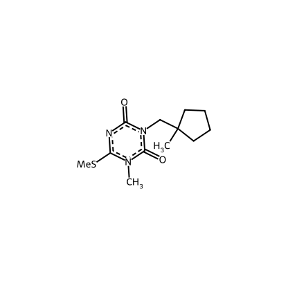 CSc1nc(=O)n(CC2(C)CCCC2)c(=O)n1C